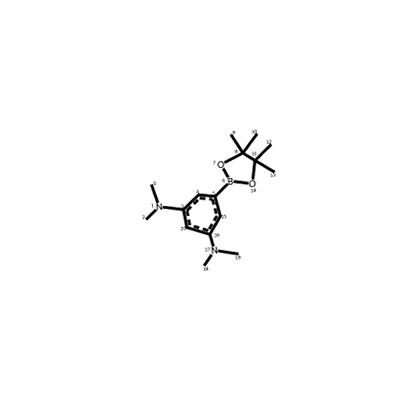 CN(C)c1cc(B2OC(C)(C)C(C)(C)O2)cc(N(C)C)c1